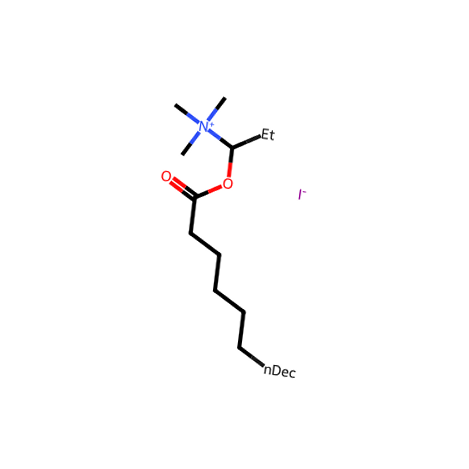 CCCCCCCCCCCCCCCC(=O)OC(CC)[N+](C)(C)C.[I-]